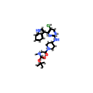 CN(CC(=O)N1CCC(Nc2ncc(Cl)c(-c3c[nH]c4ccccc34)n2)CC1)C(=O)OC(C)(C)C